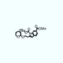 COC(=O)c1ccc2cc(CCOC3CCCCO3)n(C(=O)OC(C)(C)C)c2c1